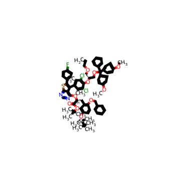 C=CCOC[C@H](COC(c1ccccc1)(c1ccc(OC)cc1)c1ccc(OC)cc1)Oc1c(Cl)c(C)c(-c2c(-c3ccc(F)cc3)sc3ncnc(O[C@H](Cc4cc(O[Si](C)(C)C(C)(C)C)ccc4OCc4ccccc4)C(=O)OC(C)(C)C)c23)c(C)c1Cl